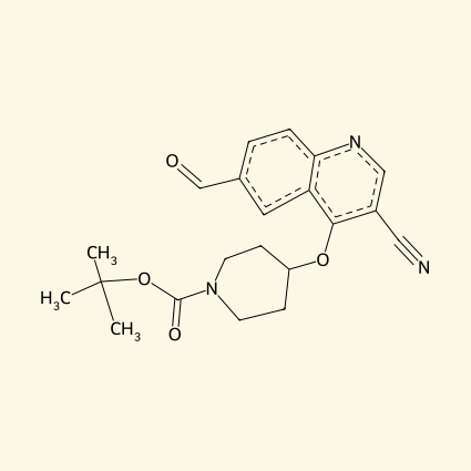 CC(C)(C)OC(=O)N1CCC(Oc2c(C#N)cnc3ccc(C=O)cc23)CC1